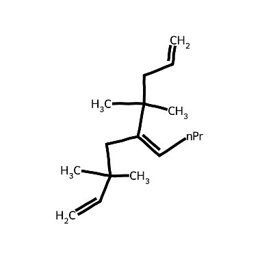 C=CCC(C)(C)C(=CCCC)CC(C)(C)C=C